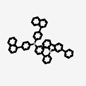 c1ccc(-c2ccc3c4ccccc4n(-c4ccccc4-c4ccc(N(c5ccc(-c6cccc7ccccc67)cc5)c5ccc(-c6cccc7ccccc67)cc5)cc4)c3c2)cc1